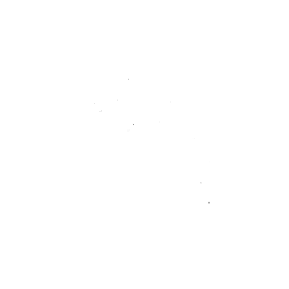 CCc1cc(-c2cccc(C(=O)O)n2)ccc1O